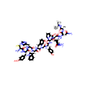 CC[C@H](C)[C@H](NC(=O)[C@@H](NC(=O)[C@H](CC(N)=O)NC(=O)[C@H](CCC(N)=O)NC(=O)[C@@H]1CCCN1C(=O)[C@@H](NC(=O)[C@H](Cc1ccc(O)cc1)NC(=O)CNC(=O)[C@H](Cc1ccc(O)cc1)NC(=O)[C@H](Cc1c[nH]c2ccccc12)NC(=O)[C@H](Cc1c[nH]cn1)NC(=O)[C@H](Cc1ccc(O)cc1)NC(=O)[C@@H](N)CS)[C@@H](C)O)C(C)C)C(=O)O